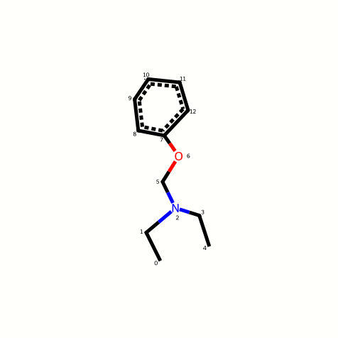 CCN(CC)COc1cc[c]cc1